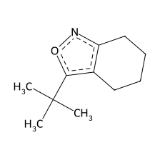 CC(C)(C)c1onc2c1CCCC2